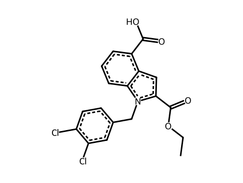 CCOC(=O)c1cc2c(C(=O)O)cccc2n1Cc1ccc(Cl)c(Cl)c1